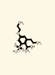 CCCOc1cc(CCC)c(C(C)O)c(S(C)(=O)=O)c1